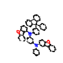 c1ccc(N(c2cccc(N(c3cccc(C4(c5ccccc5)c5ccccc5-c5ccccc54)c3)c3cccc4oc5ccccc5c34)c2)c2ccc3oc4ccccc4c3c2)cc1